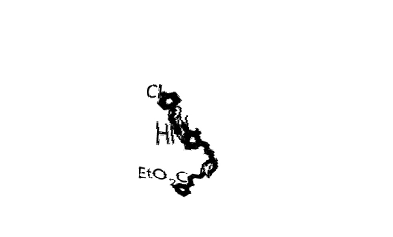 CCOC(=O)C(CCN1CCCC(CCCc2ccc3[nH]c(COc4ccc(Cl)cc4)nc3c2C)C1)Cc1ccccc1